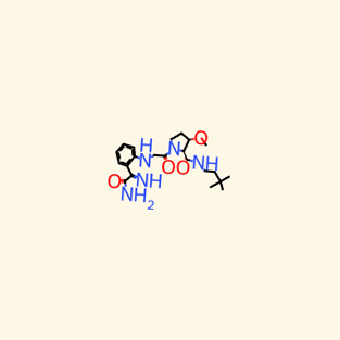 CO[C@@H]1CCN(C(=O)CNc2ccccc2C(=N)C(N)=O)[C@@H]1C(=O)NCCC(C)(C)C